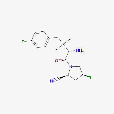 CC(C)(Cc1ccc(F)cc1)[C@H](N)C(=O)N1C[C@@H](F)C[C@H]1C#N